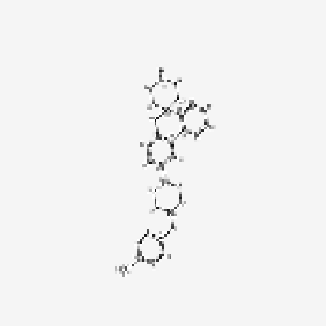 Cc1ccc(CN2CCN(c3ncc4c(n3)-c3ccccc3C3(CCNCC3)C4)CC2)cc1